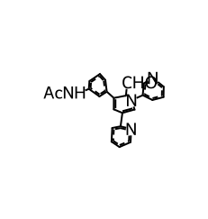 CC(=O)Nc1cccc(C2=CC(c3ccccn3)=CN(c3cccnc3)C2C=O)c1